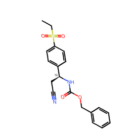 CCS(=O)(=O)c1ccc([C@H](CC#N)NC(=O)OCc2ccccc2)cc1